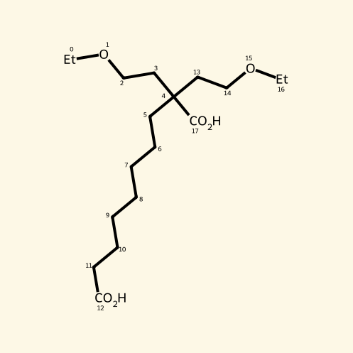 CCOCCC(CCCCCCCC(=O)O)(CCOCC)C(=O)O